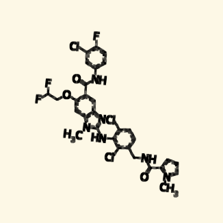 Cn1cccc1C(=O)NCc1ccc(Cl)c(Nc2nc3cc(C(=O)Nc4ccc(F)c(Cl)c4)c(OCC(F)F)cc3n2C)c1Cl